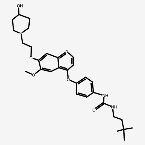 COc1cc2c(Oc3ccc(NC(=O)NCCC(C)(C)C)cc3)ccnc2cc1OCCN1CCC(O)CC1